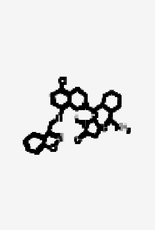 NC(=O)C1CCCCC1C(=O)N1CCc2c(Cl)ccc(OCc3noc4ccccc34)c2[C@H]1CN1CCCC1=O